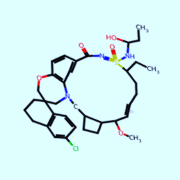 CCC(O)NS1(=O)=NC(=O)c2ccc3c(c2)N(CC2CCC2C(OC)/C=C/CCC1CC)CC1(CCCc2cc(Cl)ccc21)CO3